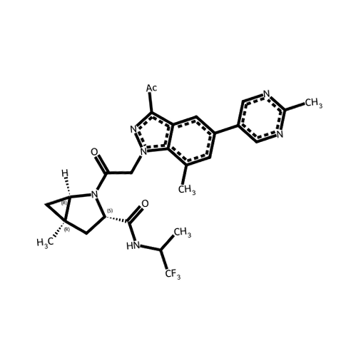 CC(=O)c1nn(CC(=O)N2[C@H](C(=O)NC(C)C(F)(F)F)C[C@@]3(C)C[C@@H]23)c2c(C)cc(-c3cnc(C)nc3)cc12